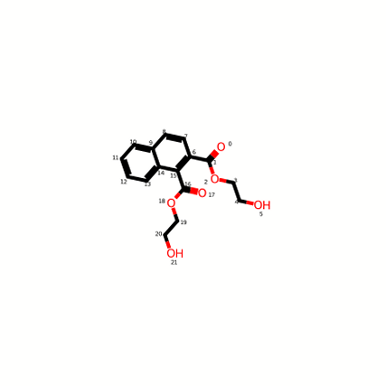 O=C(OCCO)c1ccc2ccccc2c1C(=O)OCCO